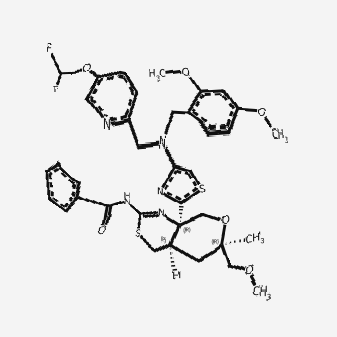 COC[C@@]1(C)C[C@H]2CSC(NC(=O)c3ccccc3)=N[C@@]2(c2nc(N(Cc3ccc(OC(F)F)cn3)Cc3ccc(OC)cc3OC)cs2)CO1